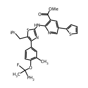 COC(=O)c1cc(-c2cccs2)cnc1Nc1nc(-c2ccc(OC(C)(F)P)c(C)c2)c(CC(C)C)s1